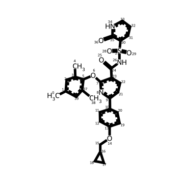 Cc1cc(C)c(Oc2nc(-c3ccc(OCC4CC4)cc3)ccc2C(=O)NS(=O)(=O)c2ccc[nH]c2=O)c(C)c1